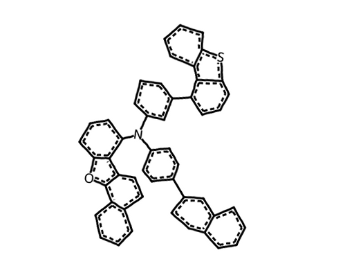 c1cc(-c2cccc3sc4ccccc4c23)cc(N(c2ccc(-c3ccc4ccccc4c3)cc2)c2cccc3oc4c5ccccc5ccc4c23)c1